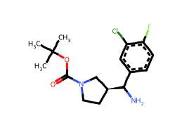 CC(C)(C)OC(=O)N1CC[C@H](C(N)c2ccc(F)c(Cl)c2)C1